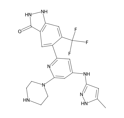 Cc1cc(Nc2cc(-c3cc4c(=O)[nH][nH]c4cc3C(F)(F)F)nc(N3CCNCC3)c2)n[nH]1